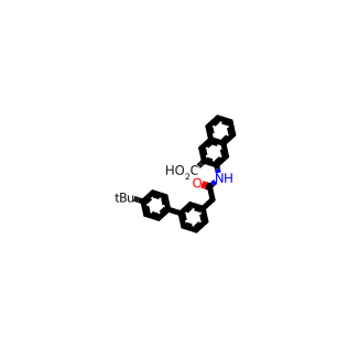 CC(C)(C)c1ccc(-c2cccc(CC(=O)Nc3cc4ccccc4cc3C(=O)O)c2)cc1